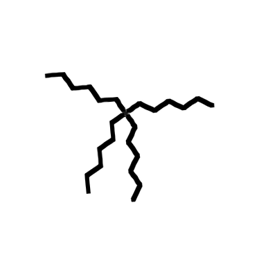 CCCCCC[Si](CCCCCC)(CCCCCC)CCCCCC